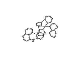 c1ccc2c(c1)-c1cccc(-c3cccc4c3-c3cccc5cccc(c35)S4)c1C21c2ccccc2-c2cccc3cccc1c23